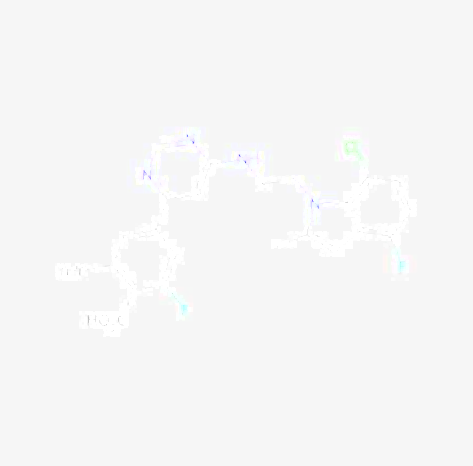 CCCc1cc(-c2cc(NCCn3c(C)cc4c(F)ccc(Cl)c43)ncn2)cc(F)c1C(=O)O